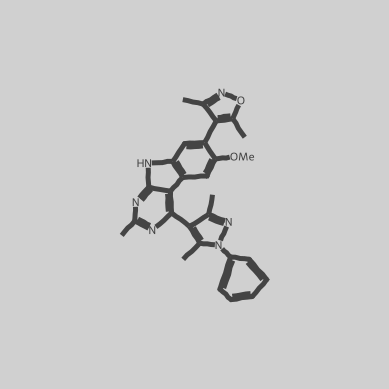 COc1cc2c(cc1-c1c(C)noc1C)[nH]c1nc(C)nc(-c3c(C)nn(-c4ccccc4)c3C)c12